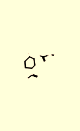 C=C(C)[C@@H]1CC[C@@H](C)[C@H](OC(=O)OC)C1